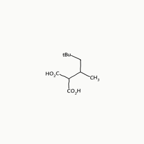 CC(CC(C)(C)C)C(C(=O)O)C(=O)O